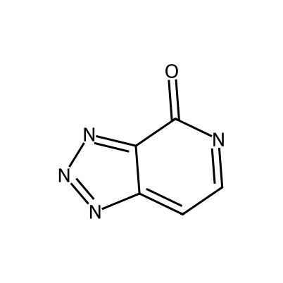 O=C1N=CC=C2N=NN=C12